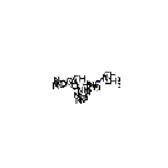 Cc1cc(Nc2ncnn3ccc(N4CC(NC(=O)/C=C/CN(C)C)C4)c23)ccc1Oc1ccn2ncnc2c1